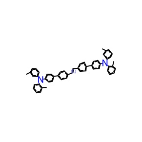 Cc1cccc(N(c2ccc(-c3ccc(/C=C/c4ccc(-c5ccc(N(c6cccc(C)c6)c6ccccc6C)cc5)cc4)cc3)cc2)c2ccccc2C)c1